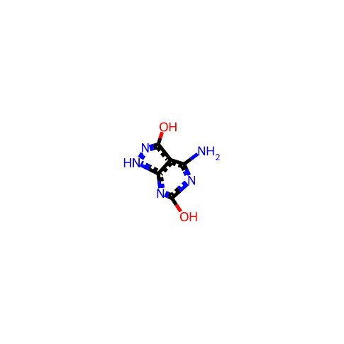 Nc1nc(O)nc2[nH]nc(O)c12